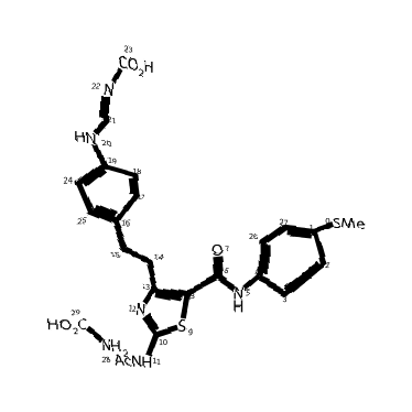 CSc1ccc(NC(=O)c2sc(NC(C)=O)nc2CCc2ccc(NC=NC(=O)O)cc2)cc1.NC(=O)O